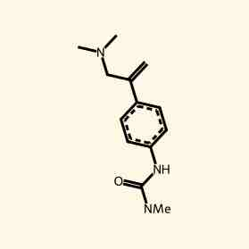 C=C(CN(C)C)c1ccc(NC(=O)NC)cc1